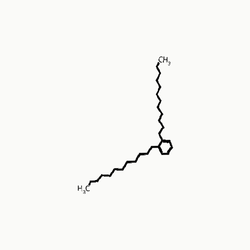 CCCCCCCCCCCCc1ccccc1CCCCCCCCCCCC